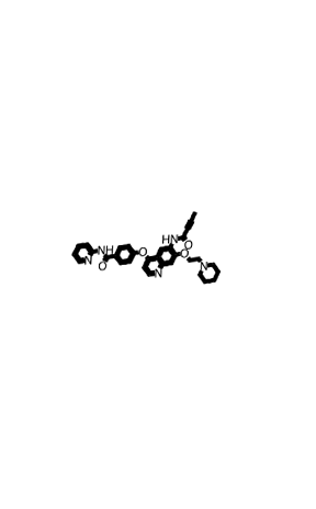 CC#CC(=O)Nc1cc2c(Oc3ccc(C(=O)Nc4ccccn4)cc3)ccnc2cc1OCCN1CCCCC1